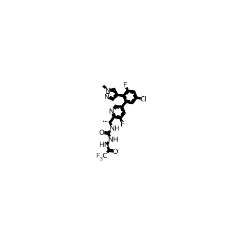 C[C@@H](NC(=O)NNC(=O)C(F)(F)F)c1ncc(-c2cc(Cl)cc(F)c2-c2cnn(C)c2)cc1F